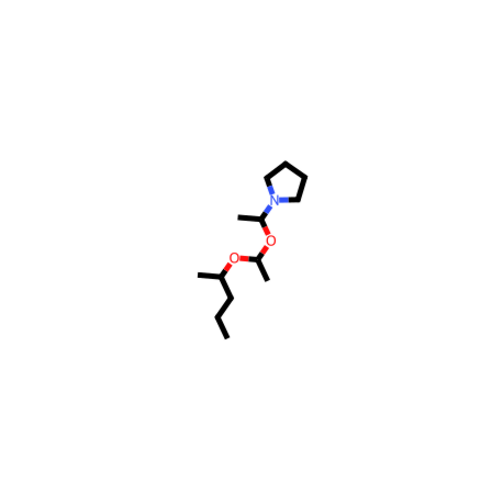 CCCC(C)OC(C)OC(C)N1CCCC1